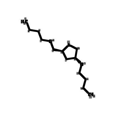 CCCCOC[C@@H]1C[C@H](OCCCC)CS1